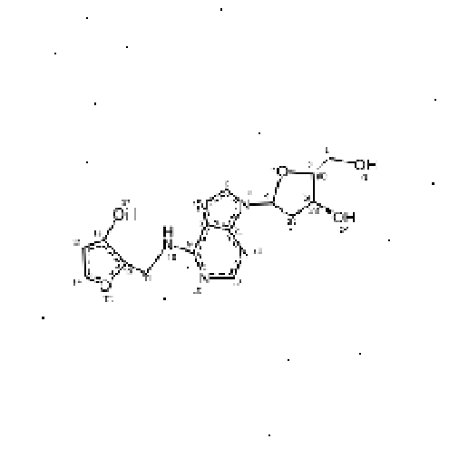 OC[C@H]1OC(n2cnc3c(NCc4occc4O)ncnc32)C[C@@H]1O